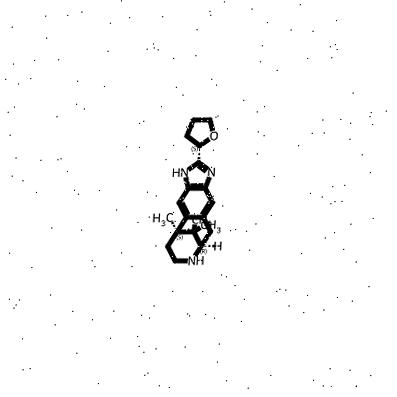 CC1(C)[C@H]2Cc3cc4nc([C@@H]5CCCO5)[nH]c4cc3[C@]1(C)CCN2